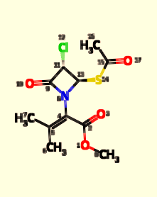 COC(=O)C(=C(C)C)N1C(=O)[C@H](Cl)[C@H]1SC(C)=O